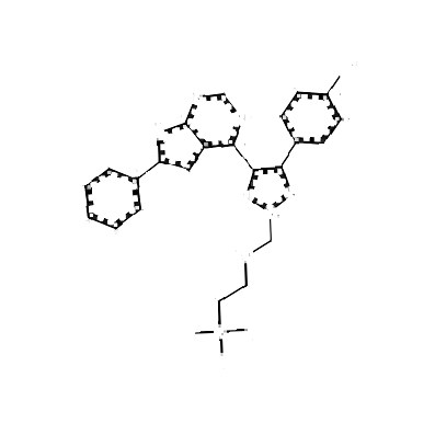 C[Si](C)(C)CCOCn1nc(-c2ccc(F)cc2)c(-c2ncnc3oc(-c4ccccc4)cc23)n1